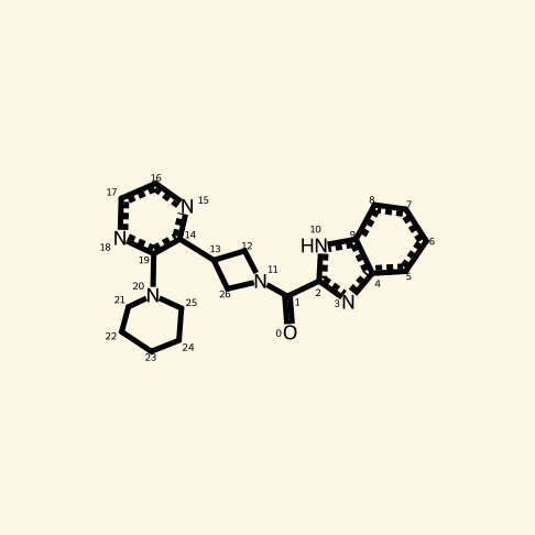 O=C(c1nc2ccccc2[nH]1)N1CC(c2nccnc2N2CCCCC2)C1